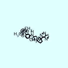 Cc1ccc(N(S(C)(=O)=O)S(C)(=O)=O)cc1NC(=O)CN1CC2CCC(c3ncnc4scnc34)(C1)N2